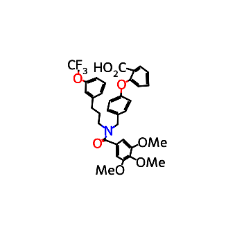 COc1cc(C(=O)N(CCCc2cccc(OC(F)(F)F)c2)Cc2ccc(Oc3ccccc3C(=O)O)cc2)cc(OC)c1OC